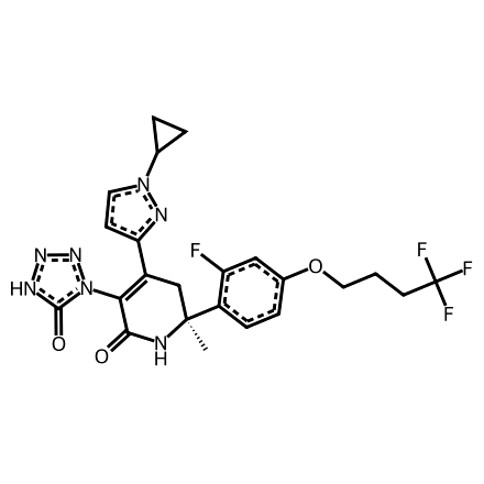 C[C@@]1(c2ccc(OCCCC(F)(F)F)cc2F)CC(c2ccn(C3CC3)n2)=C(n2nn[nH]c2=O)C(=O)N1